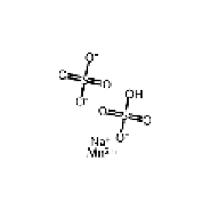 O=S(=O)([O-])O.O=S(=O)([O-])[O-].[Mn+2].[Na+]